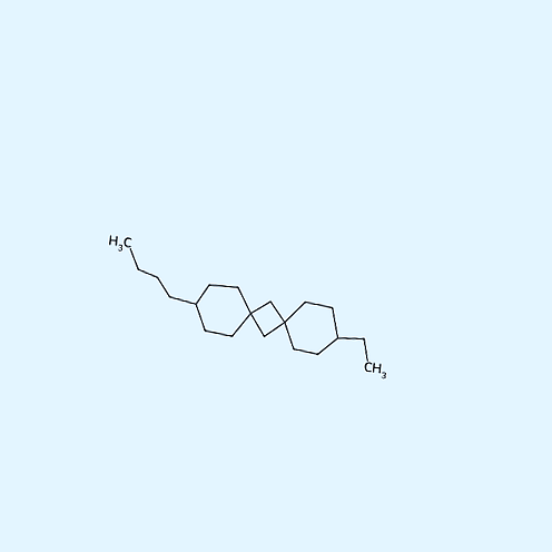 CCCCC1CCC2(CC1)CC1(CCC(CC)CC1)C2